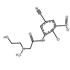 CN(CCO)CC(=O)Nc1cc(C#N)cc([N+](=O)[O-])c1Cl